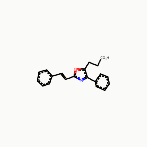 O=C(O)CCc1oc(C=Cc2ccccc2)nc1-c1ccccc1